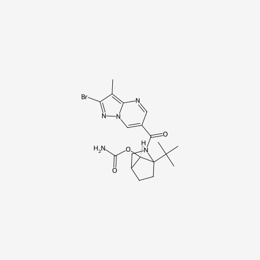 Cc1c(Br)nn2cc(C(=O)N3CC4CCC3(C(C)(C)C)[C@@H]4OC(N)=O)cnc12